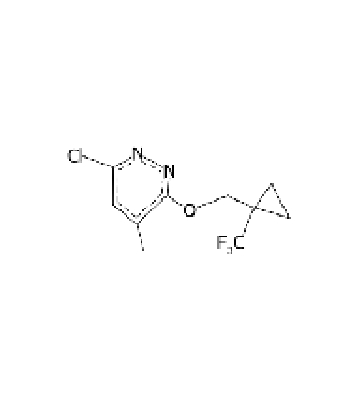 Cc1cc(Cl)nnc1OCC1(C(F)(F)F)CC1